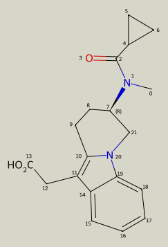 CN(C(=O)C1CC1)[C@@H]1CCc2c(CC(=O)O)c3ccccc3n2C1